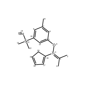 C[C](C)=[Ti]([O]c1cc(C)cc([Si](C)(C)C(C)(C)C)c1)[C]1=CC=CC1